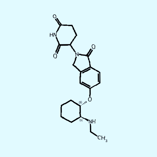 CCN[C@H]1CCCC[C@@H]1Oc1ccc2c(c1)CN(C1CCC(=O)NC1=O)C2=O